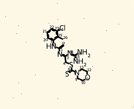 C=C(/N=C(/CSC(=S)N1CCOCC1)N=C(N)N)Nc1cccc(Cl)c1C